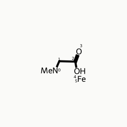 CNCC(=O)O.[Fe]